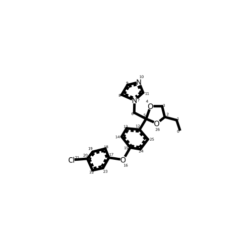 CCC1COC(Cn2ccnc2)(c2ccc(Oc3ccc(Cl)cc3)cc2)O1